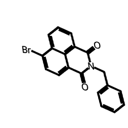 O=C1c2cccc3c(Br)ccc(c23)C(=O)N1Cc1ccccc1